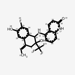 CC=C1CC(O)(C(F)(F)F)C(Nc2cccc3[nH]c(=O)ccc23)c2cc(F)c(O)cc21